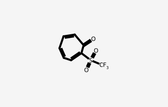 O=c1cccccc1S(=O)(=O)C(F)(F)F